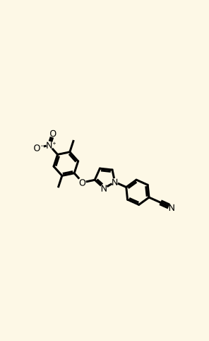 Cc1cc([N+](=O)[O-])c(C)cc1Oc1ccn(-c2ccc(C#N)cc2)n1